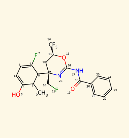 CC1C(O)=CC=C(F)C1[C@]1(CF)C[C@@H](C(F)(F)F)OC(NC(=O)c2ccccc2)=N1